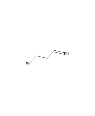 CCCCC=P